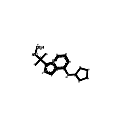 CC(C)(NC(=O)O)c1ncc2c(SC3CCCC3)cccn12